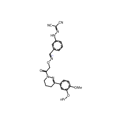 CCCOc1cc(C2=NN(C(=O)CO/N=C/c3cccc(NN=C(C#N)C#N)c3)CCC2)ccc1OC